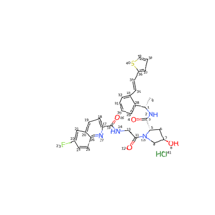 C[C@H](NC(=O)[C@@H]1C[C@@H](O)CN1C(=O)CNC(=O)c1ccc2cc(F)ccc2n1)c1ccccc1/C=C/c1cccs1.Cl